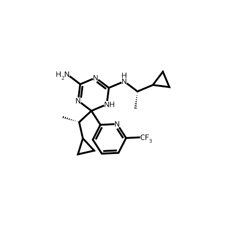 C[C@H](NC1=NC(N)=NC(c2cccc(C(F)(F)F)n2)([C@@H](C)C2CC2)N1)C1CC1